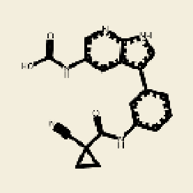 N#CC1(C(=O)Nc2cccc(-c3c[nH]c4ncc(NC(=O)O)cc34)c2)CC1